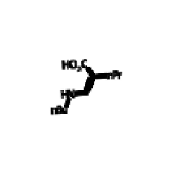 CCCCNC=C(CCC)C(=O)O